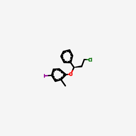 Cc1cc(I)ccc1O[C@H](CCCl)c1ccccc1